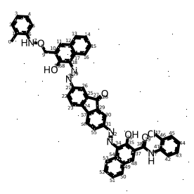 Cc1ccccc1NOCc1cc2ccccc2c(N=Nc2ccc3c(c2)C(=O)c2cc(N=Nc4c(O)c(C(=O)Nc5ccccc5Cl)cc5ccccc45)ccc2-3)c1O